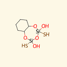 O[Si]1(S)OC2CCCCC2O[Si](O)(S)O1